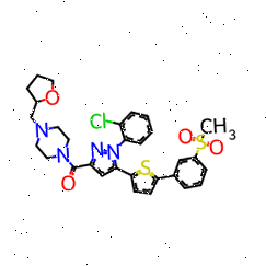 CS(=O)(=O)c1cccc(-c2ccc(-c3cc(C(=O)N4CCN(CC5CCCO5)CC4)nn3-c3ccccc3Cl)s2)c1